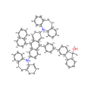 CC1(O)c2ccccc2-c2cc(-c3ccc(-c4c5c(c(-c6cccc7ccccc67)c6cc(N7C8=C(CCC=C8)CCc8ccccc87)ccc46)=CCC(N4c6ccccc6CCc6ccccc64)C=5)cc3)ccc21